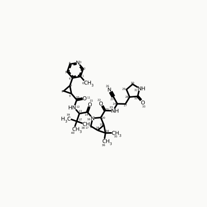 Cc1cnccc1C1CC1C(=O)NC(C(=O)N1CC2C(C1C(=O)NC(C#N)CC1CCNC1=O)C2(C)C)C(C)(C)C